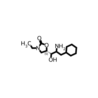 CCN1C[C@@H](C(O)C(N)CC2CCCCC2)OC1=O